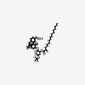 CCCCCCCCCCCCCCCC(C)C(=O)O[C@@H](CC(=O)OC(C)(C)C)C(=O)OC1=CC[C@@]2(O)[C@H]3Cc4ccc(CO)c5c4[C@@]2(CCN3C)[C@H]1O5